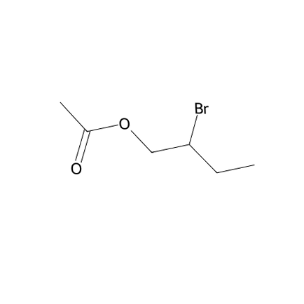 CCC(Br)COC(C)=O